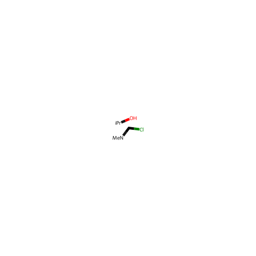 CC(C)O.CNCCl